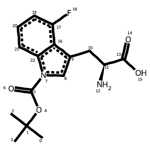 CC(C)(C)OC(=O)n1cc(C[C@H](N)C(=O)O)c2c(F)cccc21